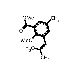 COC(=O)c1cc(C)cc(C=C(C)C)c1OC